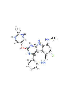 CNc1cc(F)c2c3c1[nH]c1nc(Oc4cnc(C)nc4)nc(c13)-c1ccccc1NC2